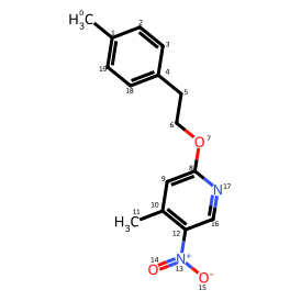 Cc1ccc(CCOc2cc(C)c([N+](=O)[O-])cn2)cc1